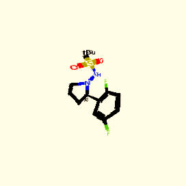 CC(C)(C)S(=O)(=O)NN1CCC[C@@H]1c1cc(F)ccc1F